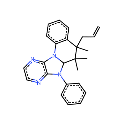 C=CCC1(C)c2ccccc2N2c3nccnc3N(c3ccccc3)C2C1(C)C